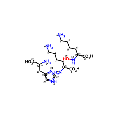 NCCCC[C@H](N)C(=O)O.NCCCC[C@H](NO)C(=O)O.N[C@@H](Cc1c[nH]cn1)C(=O)O